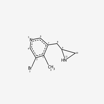 Cc1c(Br)cncc1CC1CN1